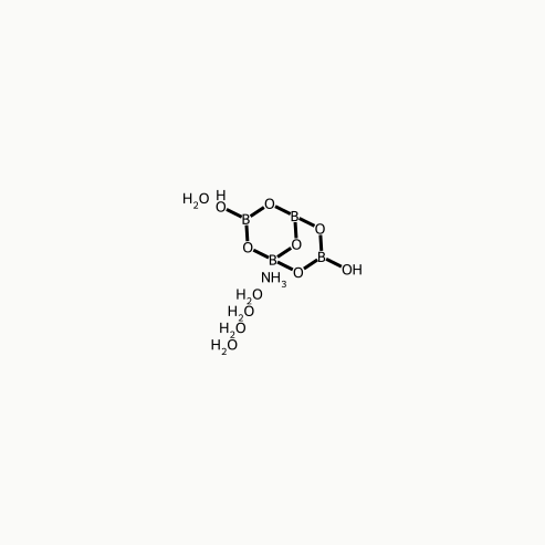 N.O.O.O.O.O.OB1OB2OB(O)OB(O1)O2